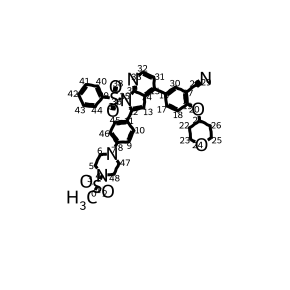 CS(=O)(=O)N1CCN(c2ccc(-c3cc4c(-c5ccc(OC6CCOCC6)c(C#N)c5)ccnc4n3S(=O)(=O)c3ccccc3)cc2)CC1